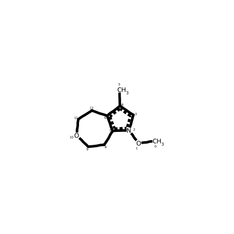 COn1cc(C)c2c1CCOCC2